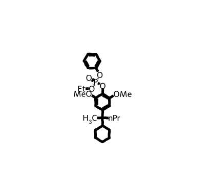 CCCC(C)(c1cc(OC)c(OP(=O)(OCC)Oc2ccccc2)c(OC)c1)C1CCCCC1